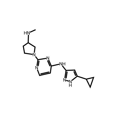 CNC1CCN(c2nccc(Nc3cc(C4CC4)[nH]n3)n2)C1